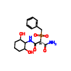 NC(=O)[C@H](C(=O)NC1C(O)CCCC1O)S(=O)(=O)Cc1ccccc1